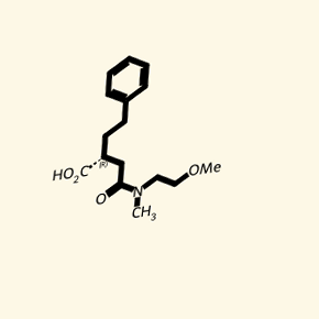 COCCN(C)C(=O)C[C@@H](CCc1ccccc1)C(=O)O